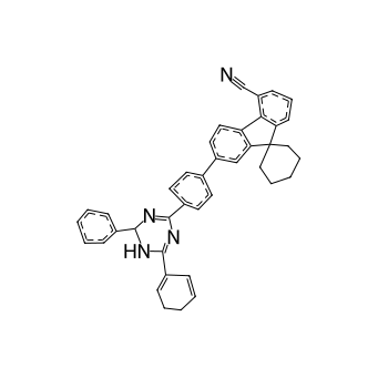 N#Cc1cccc2c1-c1ccc(-c3ccc(C4=NC(c5ccccc5)NC(C5=CCCC=C5)=N4)cc3)cc1C21CCCCC1